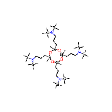 C[Si]1(CCCN([Si](C)(C)C)[Si](C)(C)C)O[Si](C)(CCCN([Si](C)(C)C)[Si](C)(C)C)O[Si](C)(CCCN([Si](C)(C)C)[Si](C)(C)C)O[Si](C)(CCCN([Si](C)(C)C)[Si](C)(C)C)O1